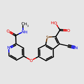 CNC(=O)c1cc(Oc2ccc3c(C#N)c(C(=O)O)sc3c2)ccn1